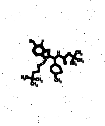 CC1CCC(C(NC(=O)OC(C)(C)C)c2nc3c(F)c(Br)ccc3n2COCC[Si](C)(C)C)CC1